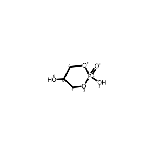 O=P1(O)OCC(O)CO1